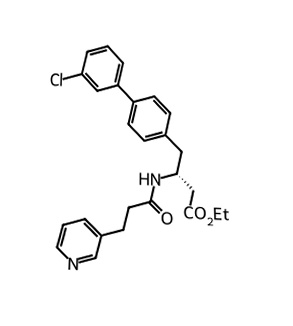 CCOC(=O)C[C@@H](Cc1ccc(-c2cccc(Cl)c2)cc1)NC(=O)CCc1cccnc1